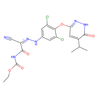 CCOC(=O)NC(=O)/C(C#N)=N\Nc1cc(Cl)c(Oc2cc(C(C)C)c(=O)[nH]n2)c(Cl)c1